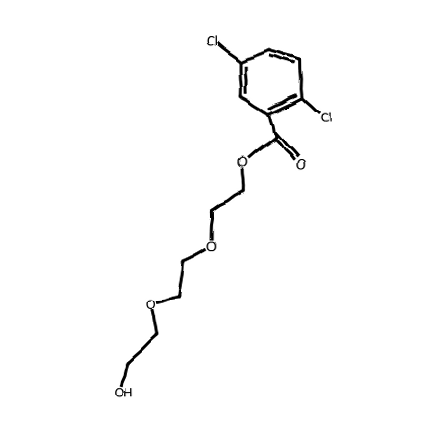 O=C(OCCOCCOCCO)c1cc(Cl)ccc1Cl